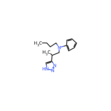 CCCCN(CC(C)c1c[nH]nn1)c1ccccc1